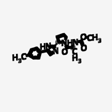 COC(=O)N[C@@H](C)C(=O)N1CC=C[C@H]1c1ncc(-c2ccc(C)cc2)[nH]1